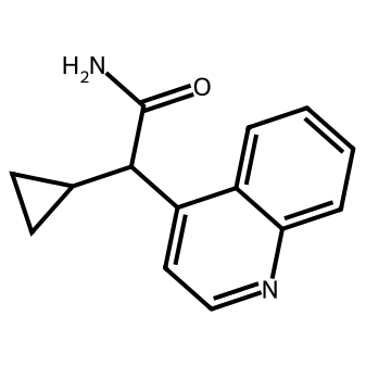 NC(=O)C(c1ccnc2ccccc12)C1CC1